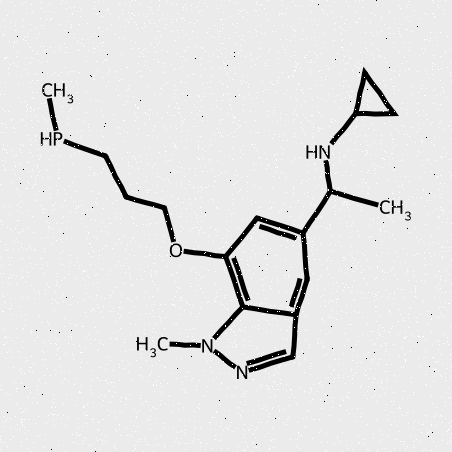 CPCCCOc1cc(C(C)NC2CC2)cc2cnn(C)c12